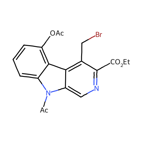 CCOC(=O)c1ncc2c(c1CBr)c1c(OC(C)=O)cccc1n2C(C)=O